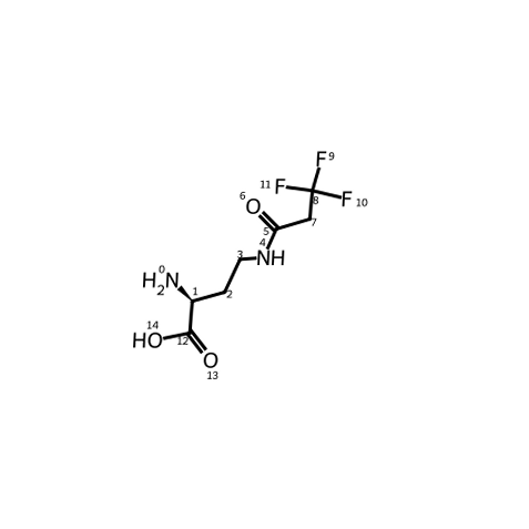 N[C@@H](CCNC(=O)CC(F)(F)F)C(=O)O